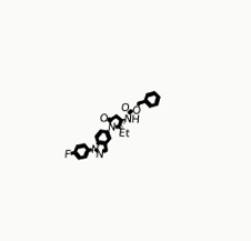 CC[C@H]1[C@H](NC(=O)OCc2ccccc2)CC(=O)N1c1ccc2c(cnn2-c2ccc(F)cc2)c1